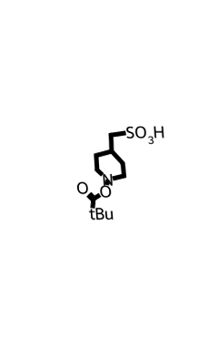 CC(C)(C)C(=O)ON1CCC(CS(=O)(=O)O)CC1